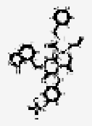 C=CCN1CC(=O)N2[C@@H](Cc3ccc(OS(C)(=O)=O)cc3)C(=O)N(Cc3cccc4cn[nH]c34)C[C@@H]2N1C(=O)NCc1ccccc1